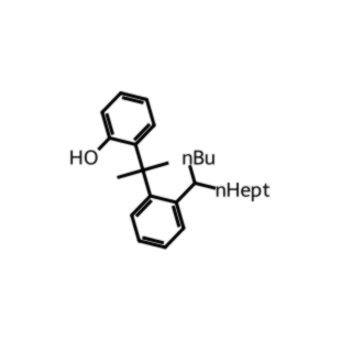 CCCCCCCC(CCCC)c1ccccc1C(C)(C)c1ccccc1O